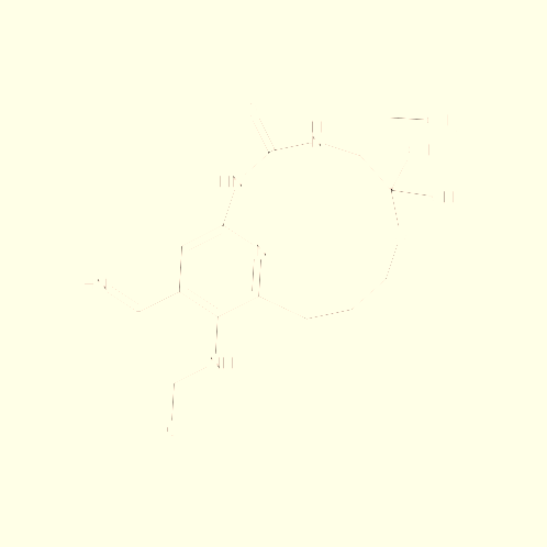 CCNc1c(C=N)cc2nc1CCCOC(C)(C)[C@@H](CC)NC(=O)N2